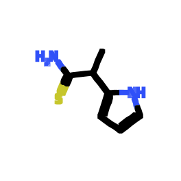 CC(C(N)=S)c1ccc[nH]1